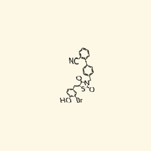 N#Cc1ccccc1-c1ccc(CN2C(=O)S/C(=C\c3ccc(O)c(Br)c3)C2=O)cc1